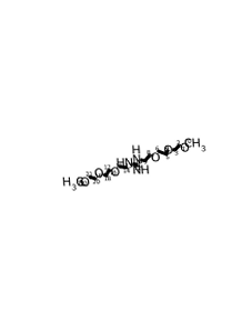 COCCOCCOCCNC(=N)NCCOCCOCCOC